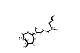 C=CCN(C)CCCNC1CCNC(C)CC1